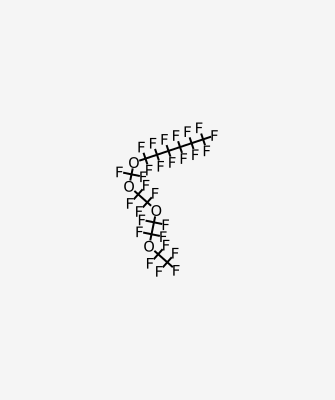 FC(F)(OC(F)(F)C(F)(F)OC(F)(F)C(F)(F)OC(F)(F)C(F)(F)F)OC(F)(F)C(F)(F)C(F)(F)C(F)(F)C(F)(F)C(F)(F)F